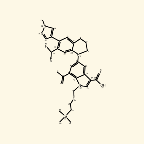 C=C(C)c1cc(N2CCCc3cc(-c4cnn(C)c4)c(C(F)F)cc32)cc2c(C(=O)O)cn(COCC[Si](C)(C)C)c12